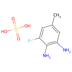 Cc1cc(N)c(N)c(F)c1.O=S(=O)(O)O